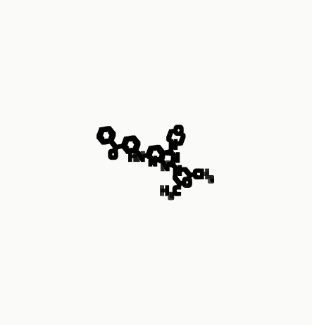 CC1CN(c2nc(N3CCOCC3)c3ccc(Nc4cccc(C(=O)c5ccccc5)c4)nc3n2)CC(C)O1